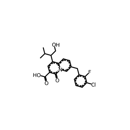 CC(C)C(CO)c1cc(C(=O)O)c(=O)n2cc(Cc3cccc(Cl)c3F)ccc12